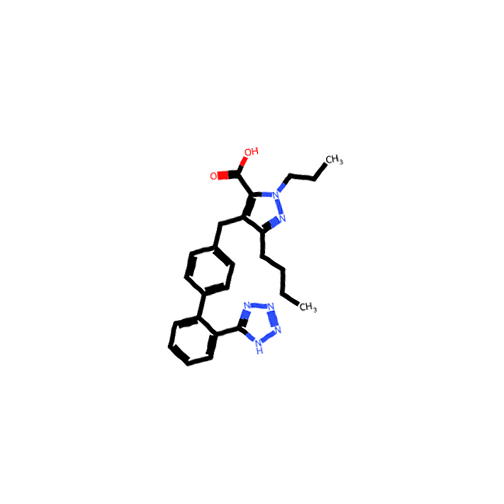 CCCCc1nn(CCC)c(C(=O)O)c1Cc1ccc(-c2ccccc2-c2nnn[nH]2)cc1